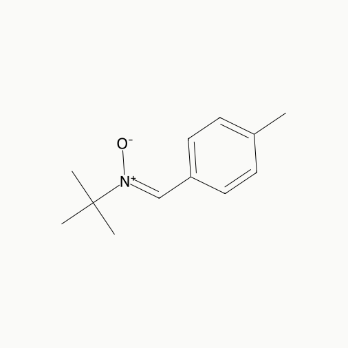 Cc1ccc(/C=[N+](\[O-])C(C)(C)C)cc1